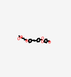 CC(=O)OCCCCOc1ccc(C#Cc2ccc(C(=O)Oc3ccc(C=O)cc3)cc2)cc1